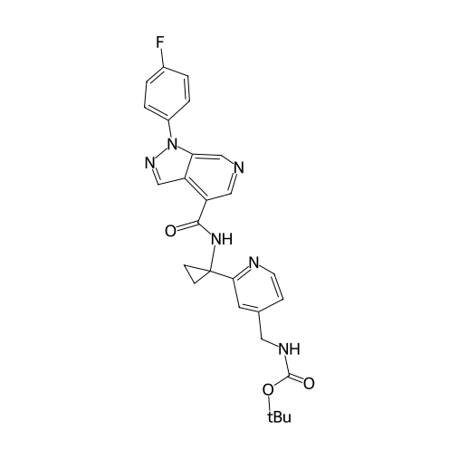 CC(C)(C)OC(=O)NCc1ccnc(C2(NC(=O)c3cncc4c3cnn4-c3ccc(F)cc3)CC2)c1